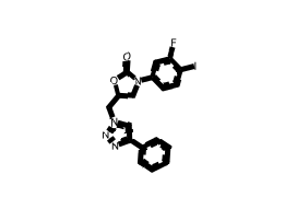 O=C1OC(Cn2cc(-c3ccccc3)nn2)CN1c1ccc(I)c(F)c1